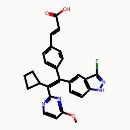 COc1ccnc(C(=C(c2ccc(C=CC(=O)O)cc2)c2ccc3[nH]nc(F)c3c2)C2CCC2)n1